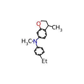 CCc1ccc(N(C)c2ccc3c(c2)OCCC3C)cc1